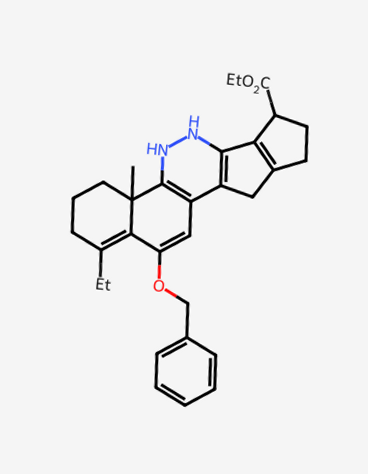 CCOC(=O)C1CCC2=C1C1=C(C2)C2=C(NN1)C1(C)CCCC(CC)=C1C(OCc1ccccc1)=C2